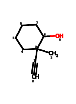 C#CC1(C)CCCCC1O